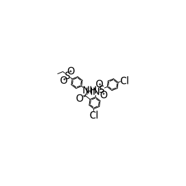 CCS(=O)(=O)c1ccc(NC(=O)c2cc(Cl)ccc2NS(=O)(=O)c2ccc(Cl)cc2)cc1